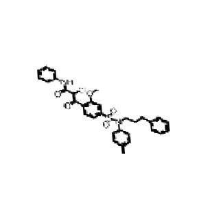 COc1cc(S(=O)(=O)N(CCCc2ccccc2)c2ccc(C)cc2)ccc1C(=O)C(Cl)C(=O)Nc1ccccc1